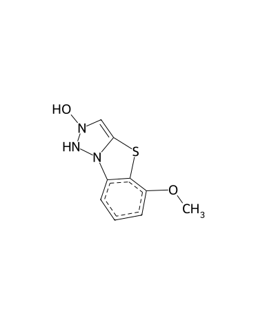 COc1cccc2c1SC1=CN(O)NN12